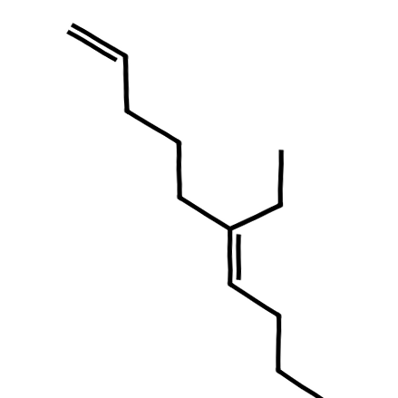 C=CCCC/C(=C/CCC)CC